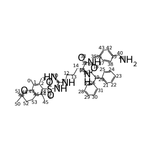 Cc1c(C)c(S(=O)(=O)NC(=N)NCCC[C@@H](NC(=O)C(c2ccccc2)c2ccccc2)C(=O)NCc2ccc(CN)cc2)c(C)c2c1OC(C)(C)CC2